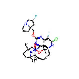 CC(C)(C)OC(=O)N1[C@@H]2CC[C@H]1[C@H]1CCCCc3nc(Cl)c(F)c4nc(OC[C@@]56CCCN5C[C@H](F)C6)nc(c34)N1C2